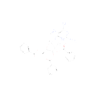 CC1(OC(=O)c2ccccc2)C(OC(=O)c2ccccc2)[C@@H](COC(=O)c2ccccc2)O[C@H]1n1cnc2c(N)nc(N)nc21